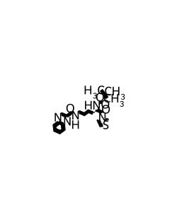 CC(C)(C)OC(=O)N[C@@H](CCCCNC(=O)c1cnc2ccccc2n1)C(=O)N1CCSC1